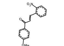 COc1ccc(C(=O)/C=C/c2ccccc2[N+](=O)[O-])cc1